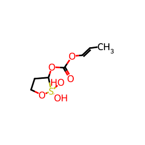 CC=COC(=O)OC1CCOS1(O)O